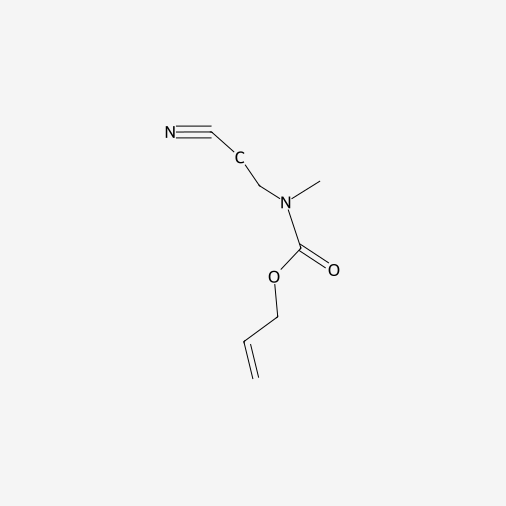 C=CCOC(=O)N(C)CCC#N